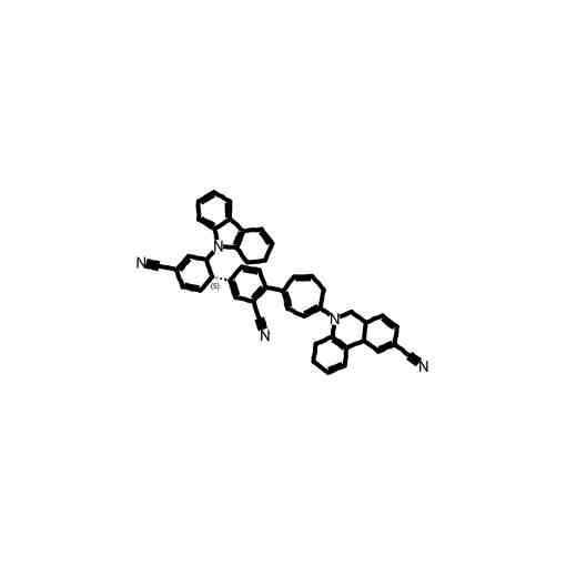 N#CC1=CC2C3=C(CCC=C3)N(C3=CC=C(c4ccc([C@@H]5C=CC(C#N)=CC5n5c6c(c7ccccc75)C=CCC6)cc4C#N)C=CC3)CC2C=C1